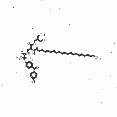 CCC=CCC=CCC=CCC=CCC=CCC=CCCC(=O)NC(CNC(=O)C(C)(C)Oc1ccc(C(=O)c2ccc(Cl)cc2)cc1)C(=O)OCC(CO)CO